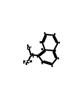 [O-][S+](c1[c]ccc2ccccc12)C(F)(F)F